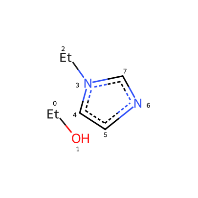 CCO.CCn1ccnc1